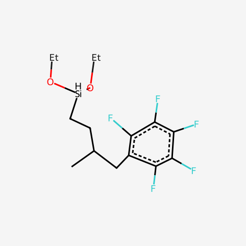 CCO[SiH](CCC(C)Cc1c(F)c(F)c(F)c(F)c1F)OCC